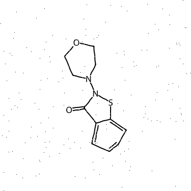 O=c1c2ccccc2sn1N1CCOCC1